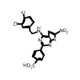 O=C(O)c1ccc(-c2nc(NCc3ccc(Cl)c(Cl)c3)c3cc([N+](=O)[O-])sc3n2)cc1